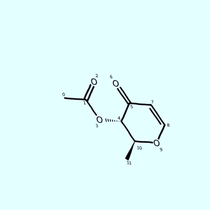 CC(=O)O[C@@H]1C(=O)C=CO[C@H]1C